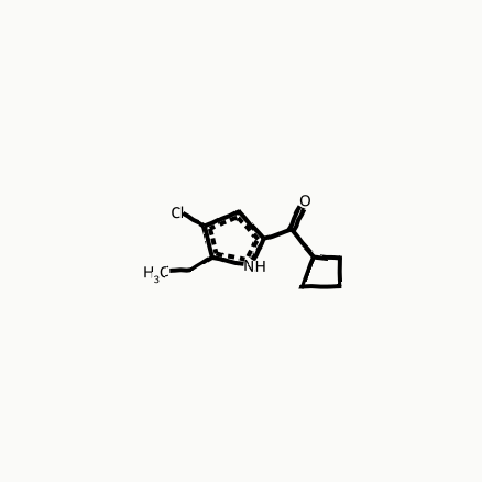 CCc1[nH]c(C(=O)C2CCC2)cc1Cl